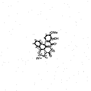 COc1ccnc(C(=O)N[C@@H](C)C(=O)O[C@@H](C)[C@@H](Oc2cccc3ccccc23)C(C)C)c1O